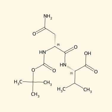 CC(C)[C@H](NC(=O)[C@@H](CC(N)=O)NC(=O)OC(C)(C)C)C(=O)O